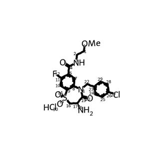 COCCNC(=O)c1cc2c(cc1F)S(=O)(=O)C[C@H](N)C(=O)N2Cc1ccc(Cl)cc1.Cl